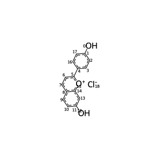 Oc1ccc(-c2ccc3ccc(O)cc3[o+]2)cc1.[Cl-]